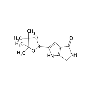 CC1(C)OB(c2cc3c([nH]2)CNC3=O)OC1(C)C